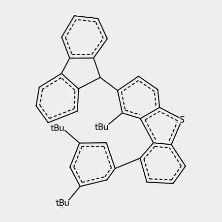 CC(C)(C)c1cc(-c2cccc3sc4ccc(C5c6ccccc6-c6ccccc65)c(C(C)(C)C)c4c23)cc(C(C)(C)C)c1